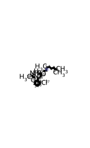 CC(C)=CCC/C(C)=C/COC(=O)C[C@@H](NC(=O)C(C)N)c1ccccc1.Cl